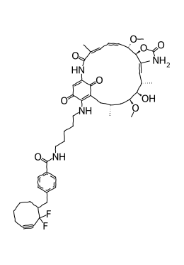 CO[C@H]1/C=C\C=C(/C)C(=O)NC2=CC(=O)C(NCCCCCNC(=O)c3ccc(CC4CCCCC#CC4(F)F)cc3)=C(C[C@@H](C)C[C@H](OC)[C@H](O)[C@@H](C)/C=C(\C)[C@@H]1OC(N)=O)C2=O